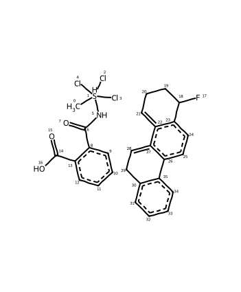 C[SH](Cl)(Cl)(Cl)NC(=O)c1ccccc1C(=O)O.FC1CCC=c2c1ccc1c2=CCc2ccccc2-1